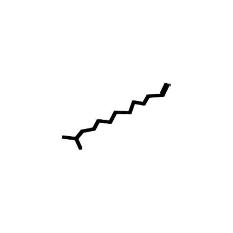 [CH]=CCCCCCCCCCC(C)C